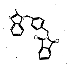 Cc1nc2ccccc2n1Cc1ccc(CN2C(=O)c3ccccc3C2=O)cc1